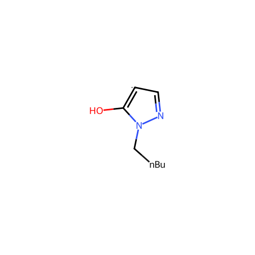 CCCCCn1nc[c]c1O